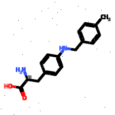 Cc1ccc(CNc2ccc(C[C@H](N)C(=O)O)cc2)cc1